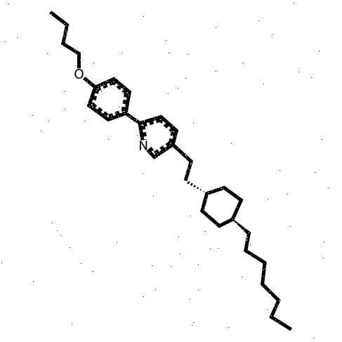 CCCCCCC[C@H]1CC[C@H](CCc2ccc(-c3ccc(OCCCC)cc3)nc2)CC1